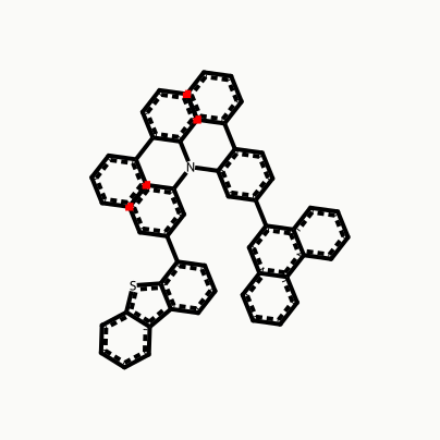 c1ccc(-c2ccccc2N(c2cccc(-c3cccc4c3sc3ccccc34)c2)c2cc(-c3cc4ccccc4c4ccccc34)ccc2-c2ccccc2)cc1